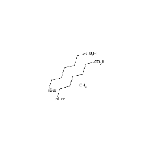 C.CCCCCCCCCCCCCCCC(=O)O.CCCCCCCCCCCCCCCC(=O)O